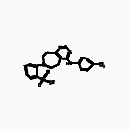 CCS(=O)(=O)c1cccnc1N1CCc2ncnc(Nc3ccc(C(F)(F)F)cc3)c2CC1